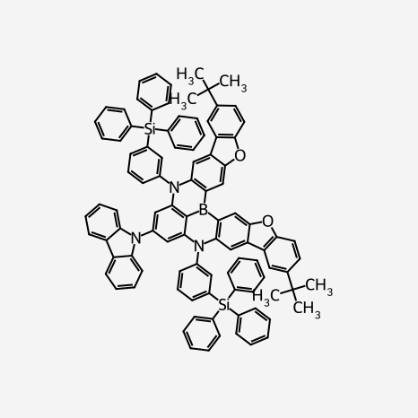 CC(C)(C)c1ccc2oc3cc4c(cc3c2c1)N(c1cccc([Si](c2ccccc2)(c2ccccc2)c2ccccc2)c1)c1cc(-n2c3ccccc3c3ccccc32)cc2c1B4c1cc3oc4ccc(C(C)(C)C)cc4c3cc1N2c1cccc([Si](c2ccccc2)(c2ccccc2)c2ccccc2)c1